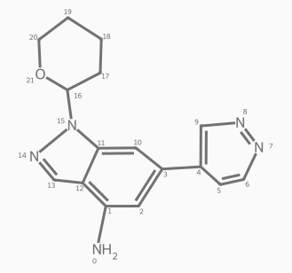 Nc1cc(-c2ccnnc2)cc2c1cnn2C1CCCCO1